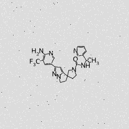 CC(NC(=O)N1CCC2(CCn3nc(-c4cnc(N)c(C(F)(F)F)c4)cc32)C1)c1cccnc1